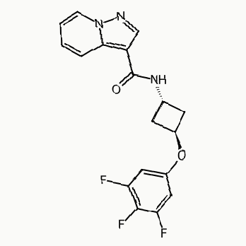 O=C(N[C@H]1C[C@H](Oc2cc(F)c(F)c(F)c2)C1)c1cnn2ccccc12